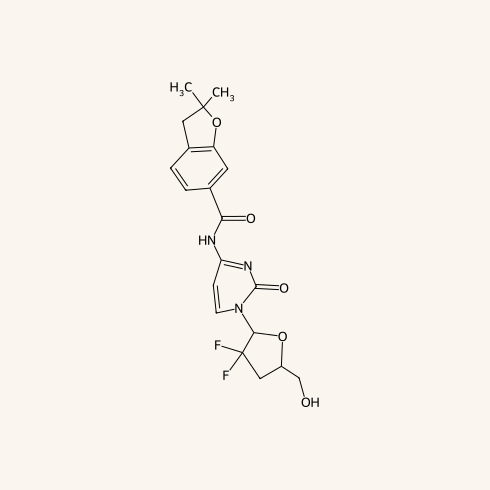 CC1(C)Cc2ccc(C(=O)Nc3ccn(C4OC(CO)CC4(F)F)c(=O)n3)cc2O1